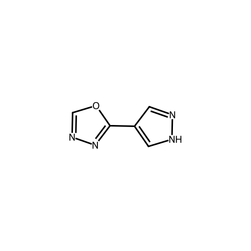 c1nnc(-c2cn[nH]c2)o1